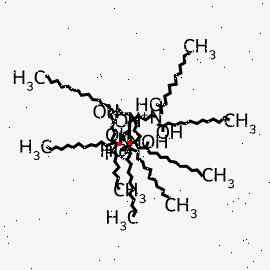 CCCCCCCCCCCCC(O)CN(CCC[N+](CCCN(CC(O)CCCCCCCCCCCC)CC(O)CCCCCCCCCCCC)(CCCN(CC(O)CCCCCCCCCCCC)CC(O)CCCCCCCCCCCC)CCCN(CC(O)CCCCCCCCCCCC)CC(O)CCCCCCCCCCCC)CC(O)CCCCCCCCCCCC